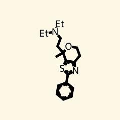 CCN(CC)CCC1(C)OCCc2nc(-c3ccccc3)sc21